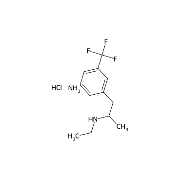 CCNC(C)Cc1cccc(C(F)(F)F)c1.Cl.N